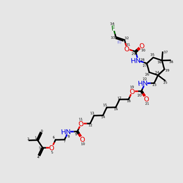 C=C(C)C(=C)OCCNC(=O)OCCCCCCCOC(=O)NCC1(C)CC(NC(=O)O/C=C/F)CC(C)(C)C1